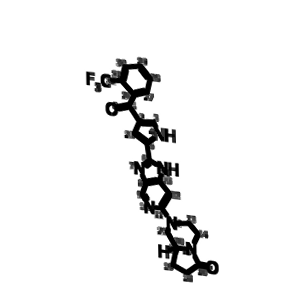 O=C(c1c[nH]c(-c2nc3cnc(N4CCN5C(=O)CC[C@@H]5C4)cc3[nH]2)c1)c1ccccc1C(F)(F)F